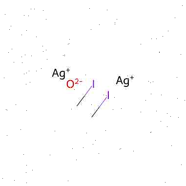 CI.CI.[Ag+].[Ag+].[O-2]